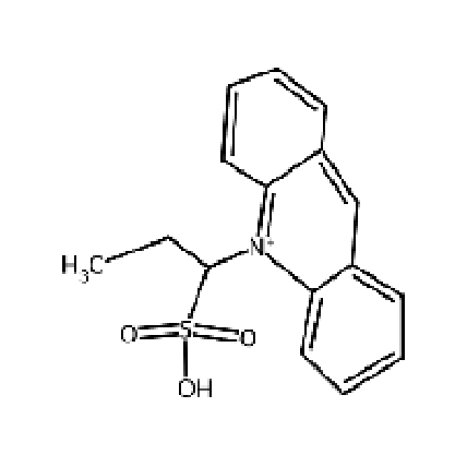 CCC([n+]1c2ccccc2cc2ccccc21)S(=O)(=O)O